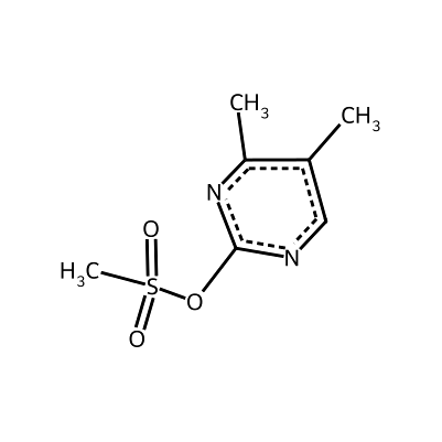 Cc1cnc(OS(C)(=O)=O)nc1C